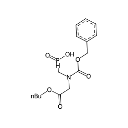 CCCCOC(=O)CN(C[PH](=O)O)C(=O)OCc1ccccc1